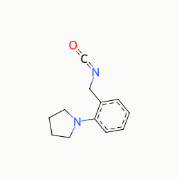 O=C=NCc1ccccc1N1CCCC1